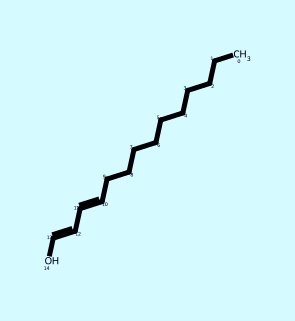 CCCCCCCCCC/C=C/C=C/O